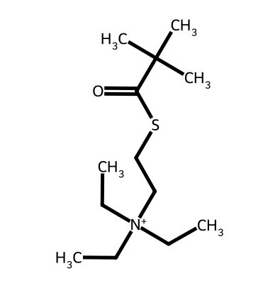 CC[N+](CC)(CC)CCSC(=O)C(C)(C)C